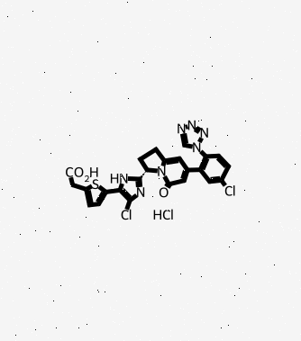 Cl.O=C(O)Cc1ccc(-c2[nH]c([C@@H]3CCc4cc(-c5cc(Cl)ccc5-n5cnnn5)cc(=O)n43)nc2Cl)s1